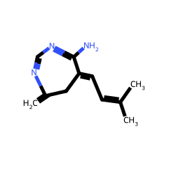 C=C1C/C(=C\C=C(C)C)C(N)=NC=N1